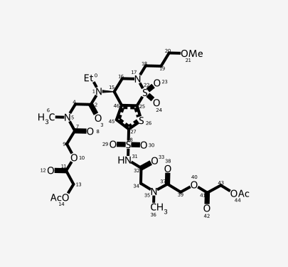 CCN(C(=O)CN(C)C(=O)COC(=O)COC(C)=O)[C@H]1CN(CCCOC)S(=O)(=O)c2sc(S(=O)(=O)NC(=O)CN(C)C(=O)COC(=O)COC(C)=O)cc21